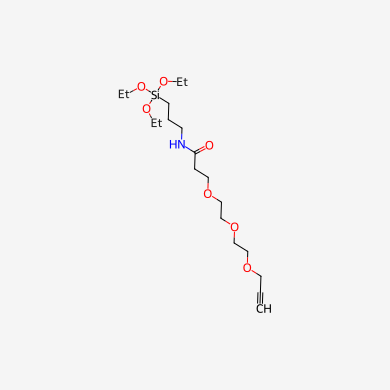 C#CCOCCOCCOCCC(=O)NCCC[Si](OCC)(OCC)OCC